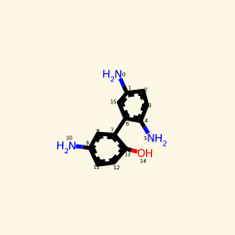 Nc1ccc(N)c(-c2cc(N)ccc2O)c1